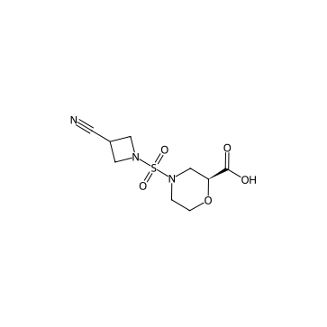 N#CC1CN(S(=O)(=O)N2CCO[C@H](C(=O)O)C2)C1